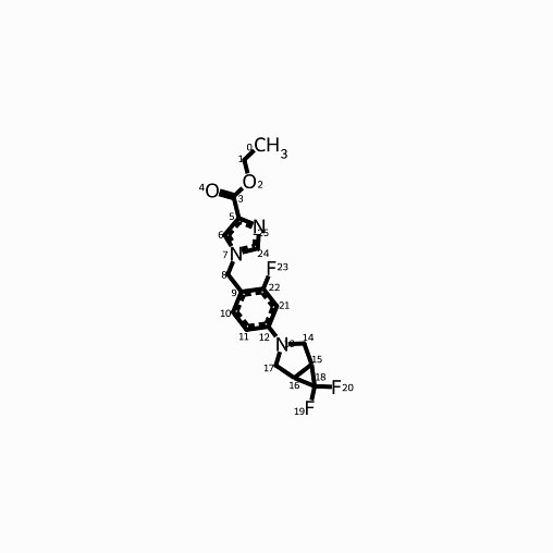 CCOC(=O)c1cn(Cc2ccc(N3CC4C(C3)C4(F)F)cc2F)cn1